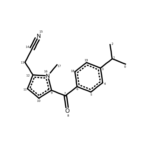 CC(C)c1ccc(C(=O)c2ccc(CC#N)n2C)cc1